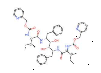 CC[C@H](C)[C@H](NC(=O)OCc1ccccn1)C(=O)NC(Cc1ccccc1)C(O)C(O)C(Cc1ccccc1)NC(=O)[C@@H](NC(=O)OCc1ccccn1)[C@@H](C)CC